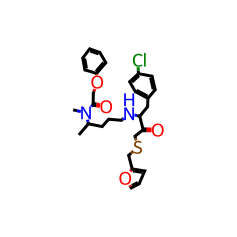 CC(CCCNC(Cc1ccc(Cl)cc1)C(=O)CSCc1ccco1)N(C)C(=O)COc1ccccc1